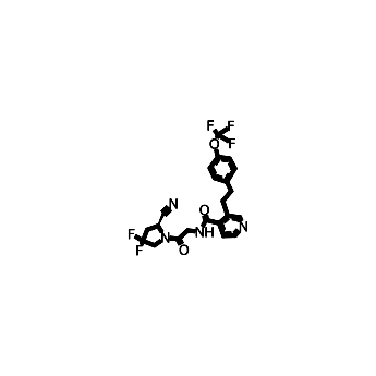 N#C[C@@H]1CC(F)(F)CN1C(=O)CNC(=O)c1ccncc1CCc1ccc(OC(F)(F)F)cc1